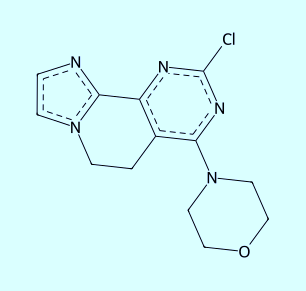 Clc1nc2c(c(N3CCOCC3)n1)CCn1ccnc1-2